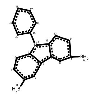 Bc1ccc2c(c1)c1cc(B)ccc1n2-c1ccccc1